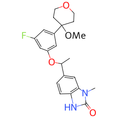 COC1(c2cc(F)cc(OC(C)c3ccc4[nH]c(=O)n(C)c4c3)c2)CCOCC1